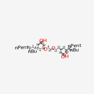 CCCCCC(CCCC)CCC(CCOCCOCCC(CCC(CCCC)CCCCC)CC(O)=S)CC(O)=S